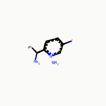 CC(C)C(N)c1ccc(I)cn1.N